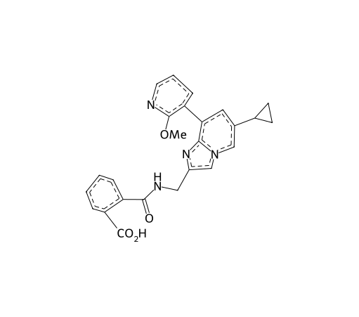 COc1ncccc1-c1cc(C2CC2)cn2cc(CNC(=O)c3ccccc3C(=O)O)nc12